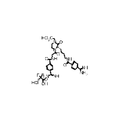 Cl.N=C(N)c1ccc(C(=O)NCCCC[C@H]2C(=O)N(CC(=O)O)CCN2C(=O)CNC(=O)c2ccc(C(=N)N)cc2)cc1.O=C(O)C(F)(F)F